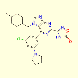 CC1CCC(Cn2cnc3nc(-c4noc(=O)[nH]4)nc(-c4cc(Cl)cc(N5CCCC5)c4)c32)CC1